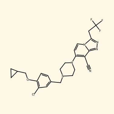 N#Cc1c(N2CCN(Cc3ccc(OCC4CC4)c(Cl)c3)CC2)ccn2c(CC(F)(F)F)nnc12